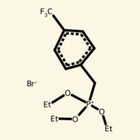 CCO[P+](Cc1ccc(C(F)(F)F)cc1)(OCC)OCC.[Br-]